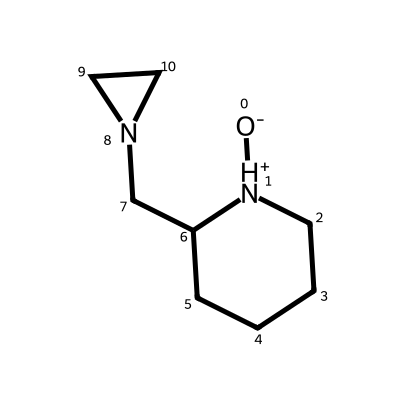 [O-][NH+]1CCCCC1CN1CC1